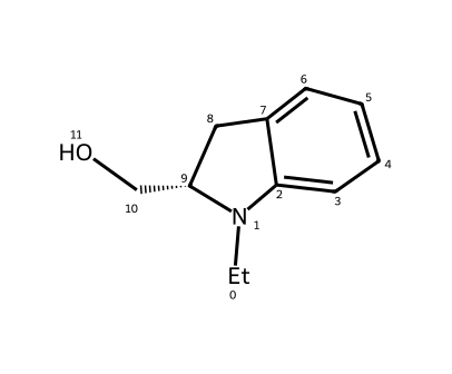 CCN1c2ccccc2C[C@H]1CO